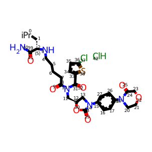 CC(C)C[C@H](NCCCCC(=O)N(C[C@H]1CN(c2ccc(N3CCOCC3=O)cc2)C(=O)O1)C(=O)c1ccc(Cl)s1)C(N)=O.Cl